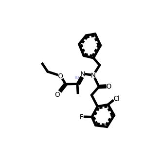 CCOC(=O)/C(C)=N/N(Cc1ccccc1)C(=O)Cc1c(F)cccc1Cl